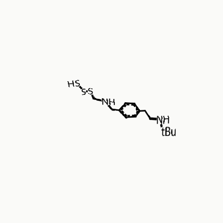 CC(C)(C)NCCc1ccc(CNCSSS)cc1